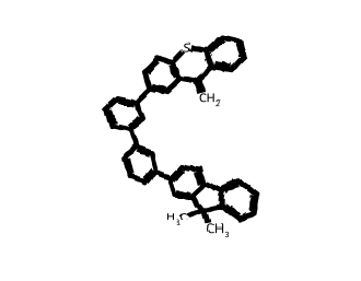 C=C1c2ccccc2Sc2ccc(-c3cccc(-c4cccc(-c5ccc6c(c5)C(C)(C)c5ccccc5-6)c4)c3)cc21